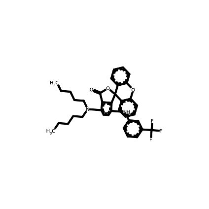 CCCCCN(CCCCC)c1ccc(Nc2cccc(C(F)(F)F)c2)c2c1C(=O)OC21c2ccccc2Oc2ccccc21